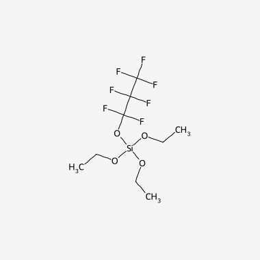 CCO[Si](OCC)(OCC)OC(F)(F)C(F)(F)C(F)(F)F